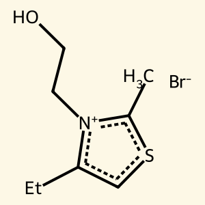 CCc1csc(C)[n+]1CCO.[Br-]